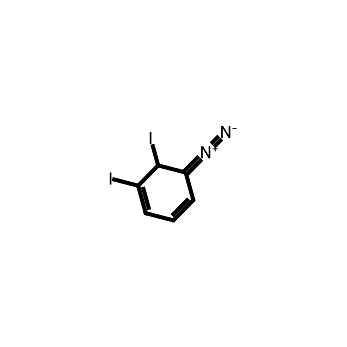 [N-]=[N+]=C1C=CC=C(I)C1I